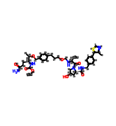 Cc1ncsc1-c1ccc(CNC(=O)[C@@H]2C[C@@H](O)CN2C(=O)[C@@H](NCOCCCc2ccc(CO[C@H](C)[C@H](CCC(N)=O)NC(=O)OC(C)(C)C)cc2)C(C)(C)C)cc1